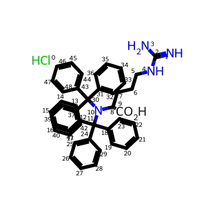 Cl.N=C(N)NCCCC(C(=O)O)N(C(c1ccccc1)(c1ccccc1)c1ccccc1)C(c1ccccc1)(c1ccccc1)c1ccccc1